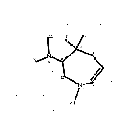 CN1C=CCC(C)(C)C(N(C)C)C1